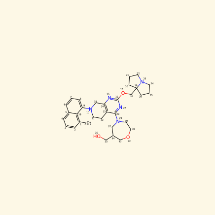 CCc1cccc2cccc(N3CCc4c(nc(OCC56CCCN5CCC6)nc4N4CCOCC(CO)C4)C3)c12